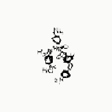 CC(=O)c1ccc(N)cc1.Cl.NC[C@H]1CC[C@H](C(=O)N[C@@H](Cc2ccc(Oc3ccc([N+](=O)[O-])cc3)cc2)C(=O)O)CC1